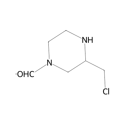 O=[C]N1CCNC(CCl)C1